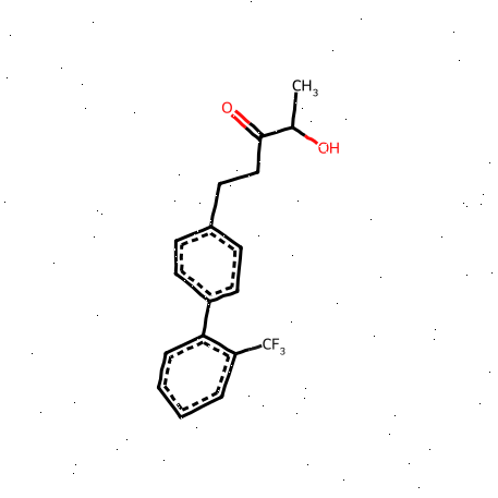 CC(O)C(=O)CCc1ccc(-c2ccccc2C(F)(F)F)cc1